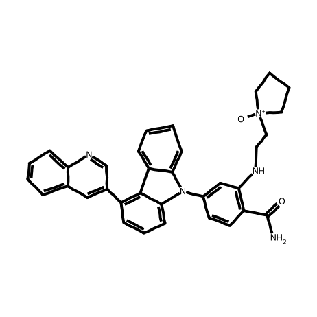 NC(=O)c1ccc(-n2c3ccccc3c3c(-c4cnc5ccccc5c4)cccc32)cc1NCC[N+]1([O-])CCCC1